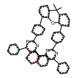 CC1(C)c2cccc(-c3ccc(-c4nc(-c5ccccc5)cc(-c5ccccc5)n4)cc3)c2Oc2c(-c3ccc(-c4nc(-c5ccccc5)cc(-c5ccccc5)n4)cc3)cccc21